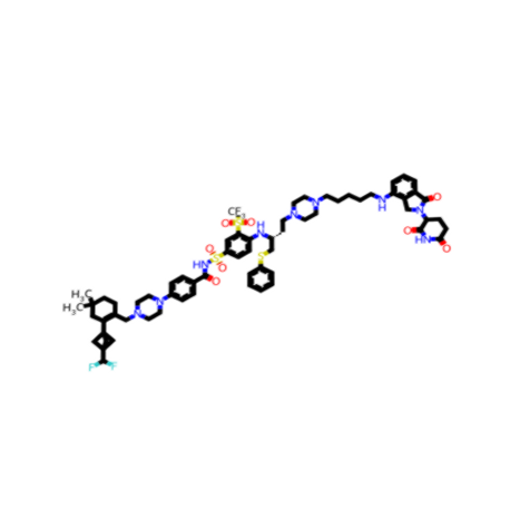 CC1(C)CCC(CN2CCN(c3ccc(C(=O)NS(=O)(=O)c4ccc(N[C@H](CCN5CCN(CCCCCNc6cccc7c6CN(C6CCC(=O)NC6=O)C7=O)CC5)CSc5ccccc5)c(S(=O)(=O)C(F)(F)F)c4)cc3)CC2)=C(C23CC(C(F)F)(C2)C3)C1